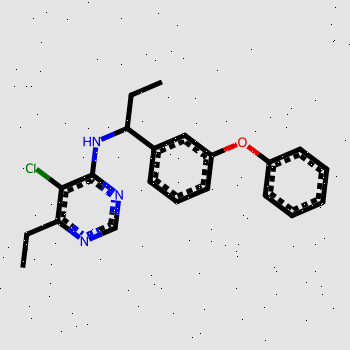 CCc1ncnc(NC(CC)c2cccc(Oc3ccccc3)c2)c1Cl